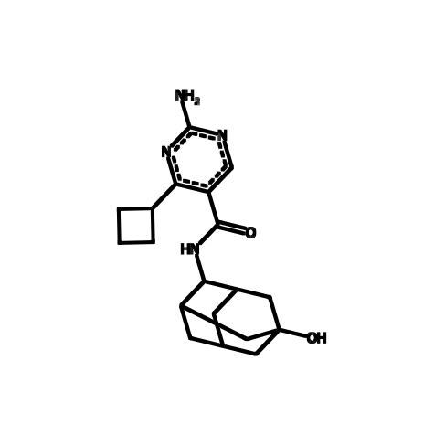 Nc1ncc(C(=O)NC2C3CC4CC2CC(O)(C4)C3)c(C2CCC2)n1